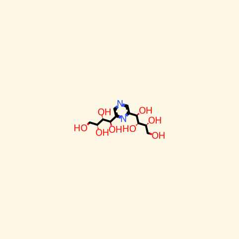 OC[C@@H](O)[C@H](O)[C@H](O)c1cncc([C@@H](O)[C@@H](O)[C@H](O)CO)n1